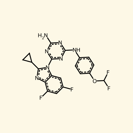 Nc1nc(Nc2ccc(OC(F)F)cc2)nc(-n2c(C3CC3)nc3c(F)cc(F)cc32)n1